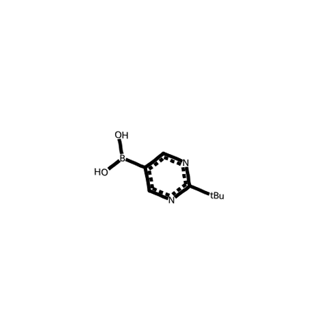 CC(C)(C)c1ncc(B(O)O)cn1